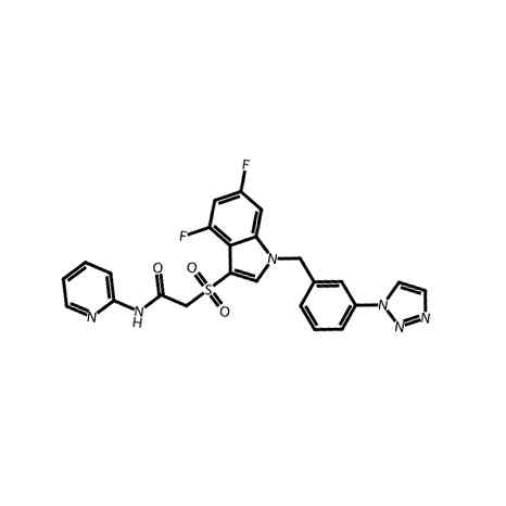 O=C(CS(=O)(=O)c1cn(Cc2cccc(-n3ccnn3)c2)c2cc(F)cc(F)c12)Nc1ccccn1